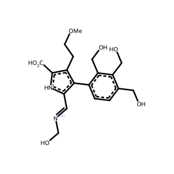 COCCc1c(C(=O)O)[nH]c(/C=N/CO)c1-c1ccc(CO)c(CO)c1CO